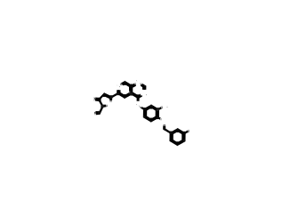 O=CC1OC(c2cc3c(Nc4ccc(OCc5cccc(F)c5)c(Br)c4)ncnc3cn2)=CC1=O